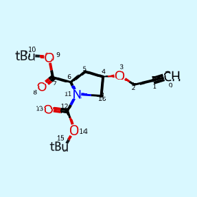 C#CCO[C@@H]1CC(C(=O)OC(C)(C)C)N(C(=O)OC(C)(C)C)C1